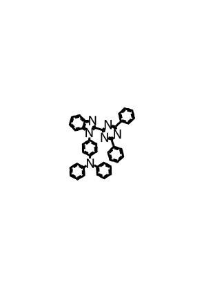 c1ccc(-c2nc(-c3ccccc3)nc(-c3nc4ccccc4n3-c3ccc(N(c4ccccc4)c4ccccc4)cc3)n2)cc1